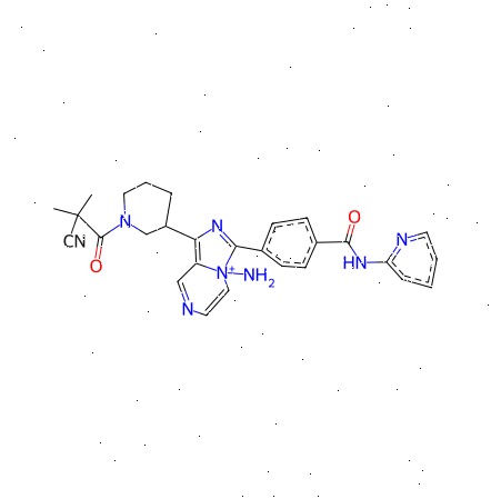 CC(C)(C#N)C(=O)N1CCCC(C2=C3C=NC=C[N+]3(N)C(c3ccc(C(=O)Nc4ccccn4)cc3)=N2)C1